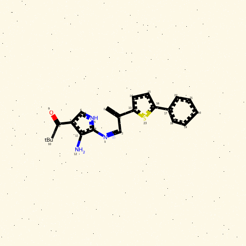 C=C(/C=N\c1[nH]cc(C(=O)C(C)(C)C)c1N)c1ccc(-c2ccccc2)s1